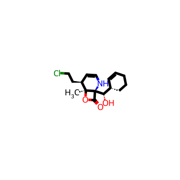 C[C@@]12OC(=O)[C@]1([C@@H](O)[C@@H]1C=CCCC1)NC=C[C@@H]2CCCl